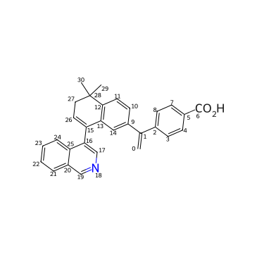 C=C(c1ccc(C(=O)O)cc1)c1ccc2c(c1)C(c1cncc3ccccc13)=CCC2(C)C